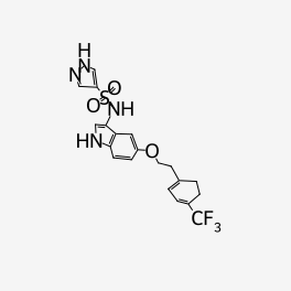 O=S(=O)(Nc1c[nH]c2ccc(OCCC3=CC=C(C(F)(F)F)CC3)cc12)c1cn[nH]c1